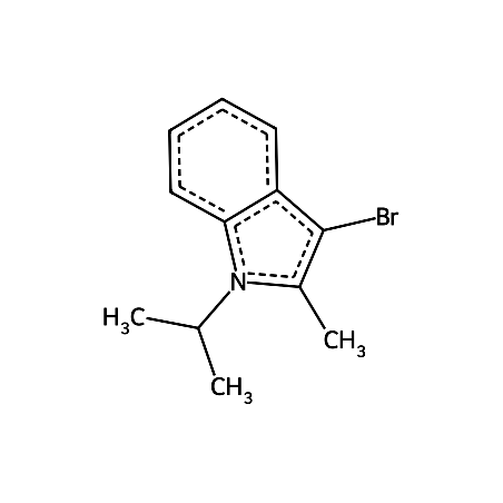 Cc1c(Br)c2ccccc2n1C(C)C